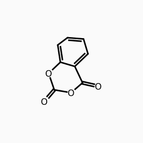 O=c1oc(=O)c2ccccc2o1